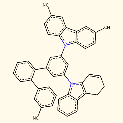 N#Cc1cccc(-c2ccccc2-c2cc(-n3c4c(c5ccccc53)CCC=C4)cc(-n3c4ccc(C#N)cc4c4cc(C#N)ccc43)c2)c1